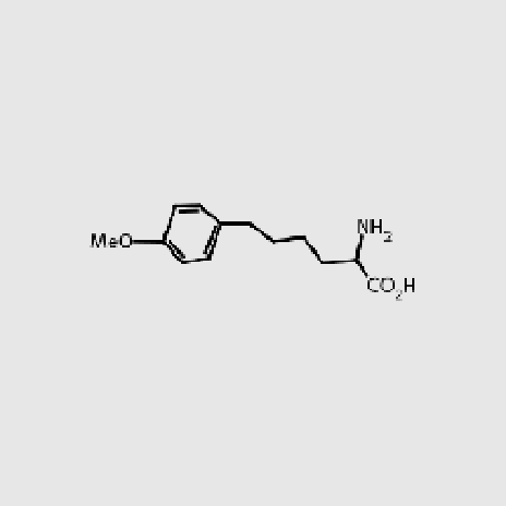 COc1ccc(CCCCC(N)C(=O)O)cc1